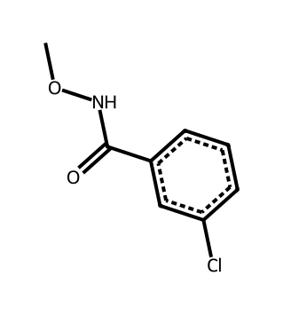 CONC(=O)c1cccc(Cl)c1